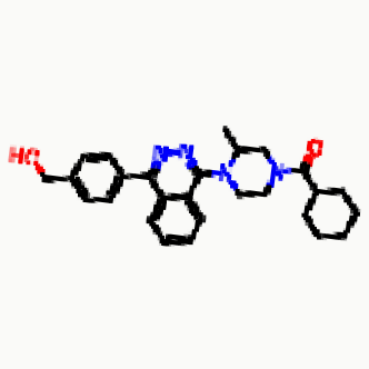 CC1CN(C(=O)C2CCCCC2)CCN1c1nnc(-c2ccc(CO)cc2)c2ccccc12